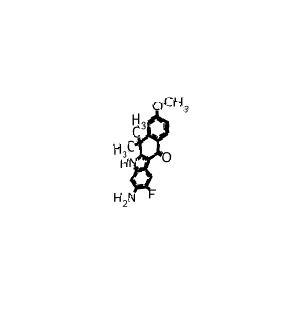 COc1ccc2c(c1)C(C)(C)c1[nH]c3cc(N)c(F)cc3c1C2=O